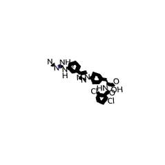 N#C/N=C(\N)Nc1cccc(-c2cn(-c3ccc(C[C@H](NC(=O)c4c(Cl)cccc4Cl)C(=O)O)cc3)nn2)c1